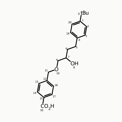 CC(C)(C)c1ccc(CCC(O)COCc2ccc(C(=O)O)cc2)cc1